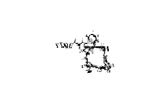 CCCCCCCCCCCCCCN1CC=CC=C1c1c2nc(cc3ccc(cc4nc(cc5ccc1[nH]5)C=C4)[nH]3)C=C2